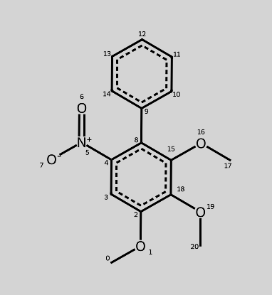 COc1cc([N+](=O)[O-])c(-c2ccccc2)c(OC)c1OC